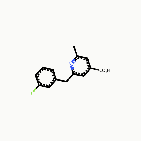 Cc1cc(C(=O)O)cc(Cc2cccc(F)c2)n1